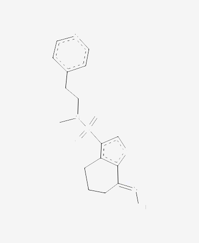 CN(CCc1ccncc1)S(=O)(=O)c1csc2c1CCC/C2=N\O